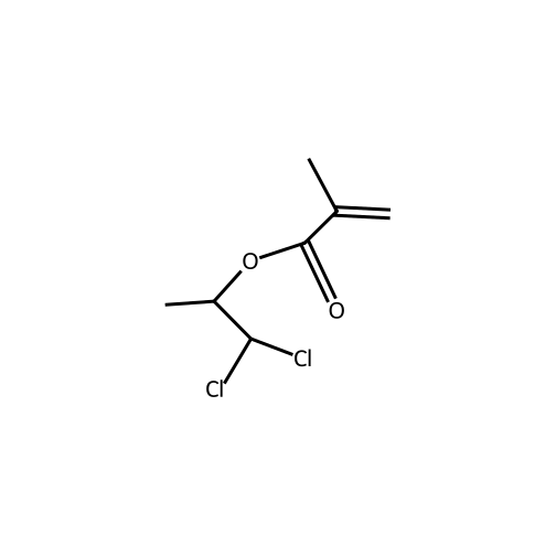 C=C(C)C(=O)OC(C)C(Cl)Cl